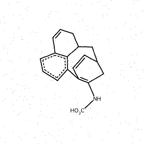 O=C(O)NC1=C2C=CC(C1)CC1CC=Cc3cccc2c31